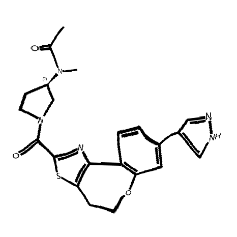 CC(=O)N(C)[C@@H]1CCN(C(=O)c2nc3c(s2)CCOc2cc(-c4cn[nH]c4)ccc2-3)C1